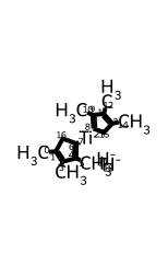 CC1=C(C)C(C)=[C]([Ti+2][C]2=C(C)C(C)=C(C)C2)C1.[H-].[H-]